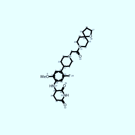 COc1cc(C2CCN(CC(=O)N3CCC4(CCCO4)CC3)CC2)c(F)cc1NC1CCC(=O)NC1=O